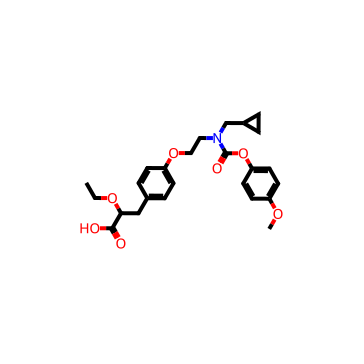 CCOC(Cc1ccc(OCCN(CC2CC2)C(=O)Oc2ccc(OC)cc2)cc1)C(=O)O